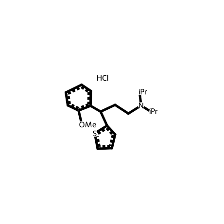 COc1ccccc1C(CCN(C(C)C)C(C)C)c1cccs1.Cl